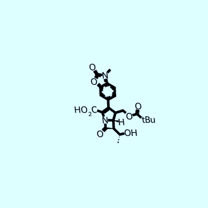 C[C@@H](O)[C@H]1C(=O)N2C(C(=O)O)=C(c3ccc4c(c3)oc(=O)n4C)C(COC(=O)C(C)(C)C)[C@H]12